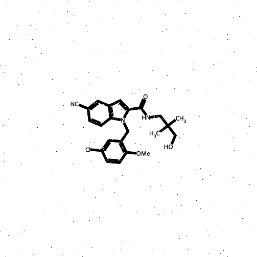 COc1ccc(Cl)cc1Cn1c(C(=O)NCC(C)(C)CO)cc2cc(C#N)ccc21